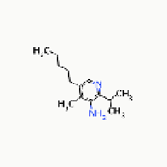 CCCCCc1cnc(C(C)C)c(N)c1C